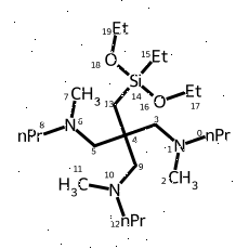 CCCN(C)CC(CN(C)CCC)(CN(C)CCC)C[Si](CC)(OCC)OCC